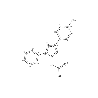 O=C(O)Cc1cn(-c2ccc(Cl)cc2)nc1-c1ccccc1